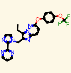 CCc1c(Cn2ccnc2-c2ncccn2)nc2ccc(Oc3ccc(OC(F)(F)F)cc3)nn12